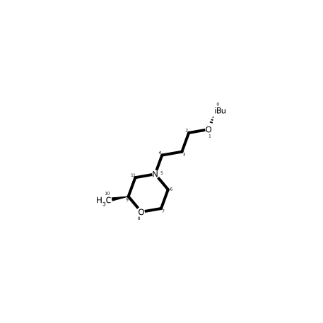 CC[C@@H](C)OCCCN1CCO[C@@H](C)C1